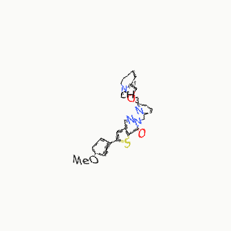 COc1ccc(-c2cc3cnn(Cc4cccc(OC[C@@H]5CCCCN5C)n4)c(=O)c3s2)cc1